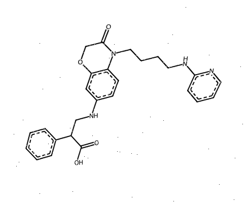 O=C(O)C(CNc1ccc2c(c1)OCC(=O)N2CCCCNc1ccccn1)c1ccccc1